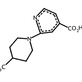 CC1CCN(c2cc(C(=O)O)ccn2)CC1